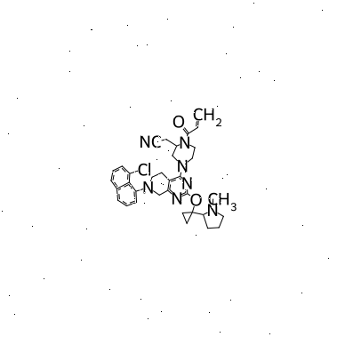 C=CC(=O)N1CCN(c2nc(OC3(C4CCCN4C)CC3)nc3c2CCN(c2cccc4cccc(Cl)c24)C3)CC1CC#N